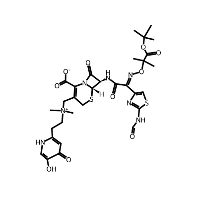 CC(C)(C)OC(=O)C(C)(C)ON=C(C(=O)N[C@@H]1C(=O)N2C(C(=O)[O-])=C(C[N+](C)(C)CCc3cc(=O)c(O)c[nH]3)CS[C@@H]12)c1csc(NC=O)n1